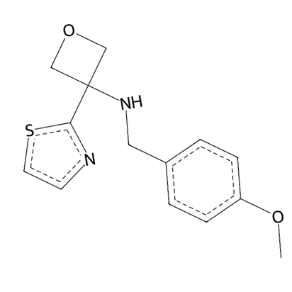 COc1ccc(CNC2(c3nccs3)COC2)cc1